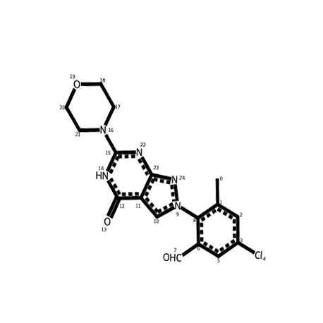 Cc1cc(Cl)cc(C=O)c1-n1cc2c(=O)[nH]c(N3CCOCC3)nc2n1